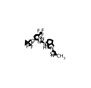 Cc1cc(N2CC3CCC[C@@H](Nc4nc5c(OCC6(C(F)(F)F)CC6)ccc(C(F)(F)F)n5n4)[C@@H]3C2)sn1